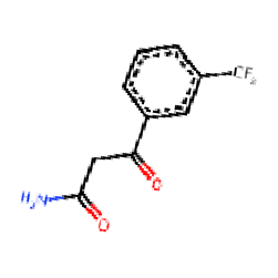 NC(=O)CC(=O)c1cccc(C(F)(F)F)c1